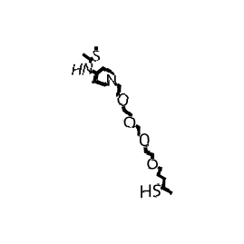 CSC(C)NC1CCN(CCOCCOCCOCCOCCCC(C)S)CC1